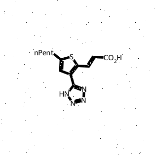 CCCCCc1cc(-c2nnn[nH]2)c(C=CC(=O)O)s1